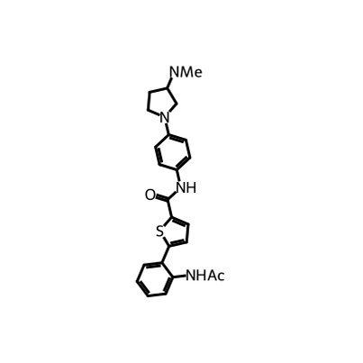 CNC1CCN(c2ccc(NC(=O)c3ccc(-c4ccccc4NC(C)=O)s3)cc2)C1